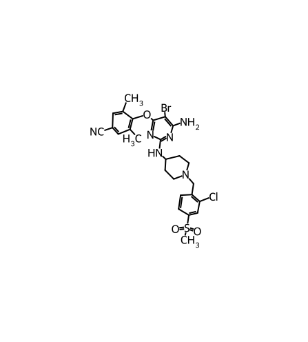 Cc1cc(C#N)cc(C)c1Oc1nc(NC2CCN(Cc3ccc(S(C)(=O)=O)cc3Cl)CC2)nc(N)c1Br